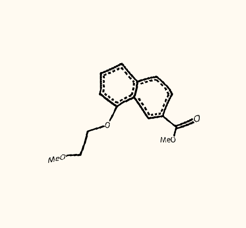 COCCOc1cccc2ccc(C(=O)OC)cc12